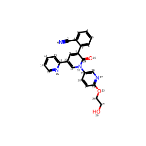 N#Cc1ccccc1-c1cc(-c2ccccn2)cn(-c2ccc(OCCO)nc2)c1=O